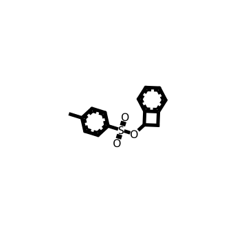 Cc1ccc(S(=O)(=O)OC2Cc3ccccc32)cc1